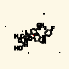 CSc1ccc([C@](I)(Oc2ccc3c(cnn3-c3ccc(F)cc3)c2)[C@H](C)NC(=O)CO)cc1